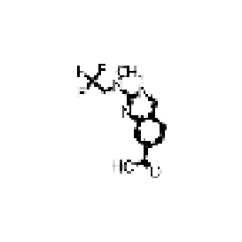 CN(CC(F)(F)F)c1ncc2ccc(C(=O)O)cc2n1